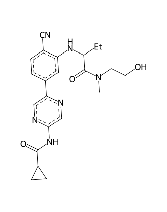 CCC(Nc1cc(-c2cnc(NC(=O)C3CC3)cn2)ccc1C#N)C(=O)N(C)CCO